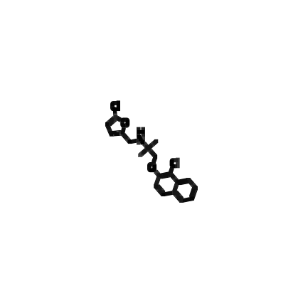 CC(C)(COc1ccc2ccccc2c1Cl)NCc1ccc(Cl)o1